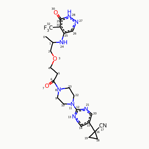 CC(COCCC(=O)N1CCN(c2ncc(C3(C#N)CC3)cn2)CC1)Nc1cn[nH]c(=O)c1C(F)(F)F